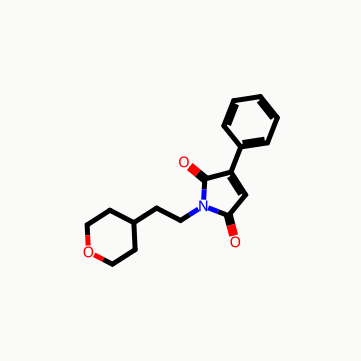 O=C1C=C(c2ccccc2)C(=O)N1CCC1CCOCC1